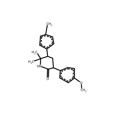 COc1ccc(C2CC(c3ccc(C)cc3)C(C)(C)NC2=O)cc1